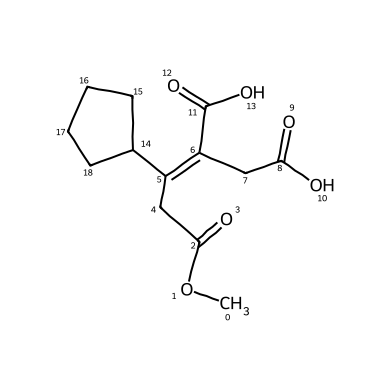 COC(=O)CC(=C(CC(=O)O)C(=O)O)C1CCCC1